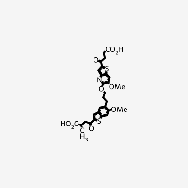 COc1cc2sc(C(=O)CC(C)C(=O)O)cc2cc1CCCOc1nc2cc(C(=O)CCC(=O)O)sc2cc1OC